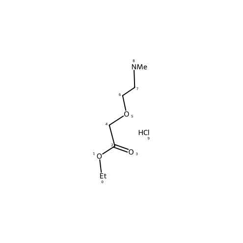 CCOC(=O)COCCNC.Cl